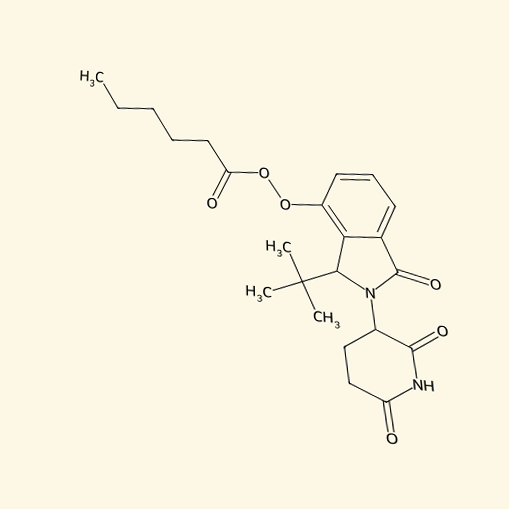 CCCCCC(=O)OOc1cccc2c1C(C(C)(C)C)N(C1CCC(=O)NC1=O)C2=O